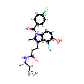 Cc1c(CCC(=O)N[C@@H](C)CC(=O)O)c2c(F)c(O)ccc2n1C(=O)c1ccc(Cl)cc1